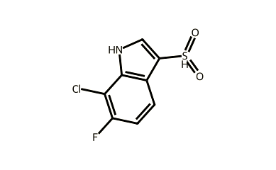 O=[SH](=O)c1c[nH]c2c(Cl)c(F)ccc12